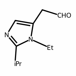 CCn1c(CC=O)cnc1C(C)C